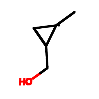 C[C]1CC1CO